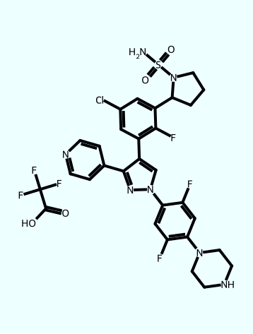 NS(=O)(=O)N1CCCC1c1cc(Cl)cc(-c2cn(-c3cc(F)c(N4CCNCC4)cc3F)nc2-c2ccncc2)c1F.O=C(O)C(F)(F)F